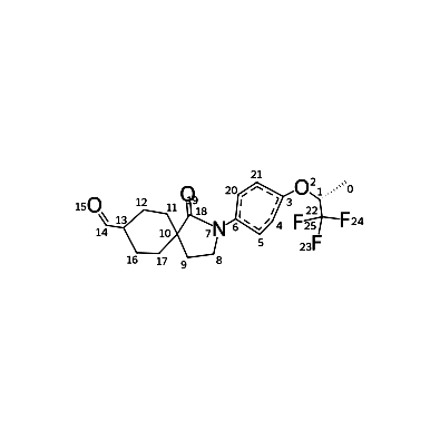 C[C@@H](Oc1ccc(N2CCC3(CCC(C=O)CC3)C2=O)cc1)C(F)(F)F